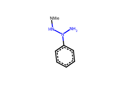 CNNN(N)c1ccccc1